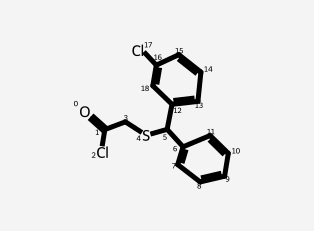 O=C(Cl)CSC(c1ccccc1)c1cccc(Cl)c1